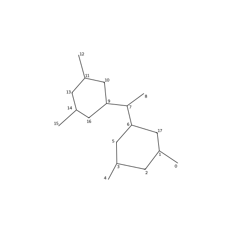 CC1CC(C)CC(C(C)C2CC(C)CC(C)C2)C1